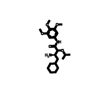 COc1cc(NC(=O)C(OC(C)C)[C@H](N)CC2CCCCC2)cc(OC)c1OC